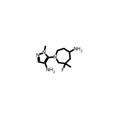 Cn1ncc(N)c1N1CCC(N)CC(C)(F)C1